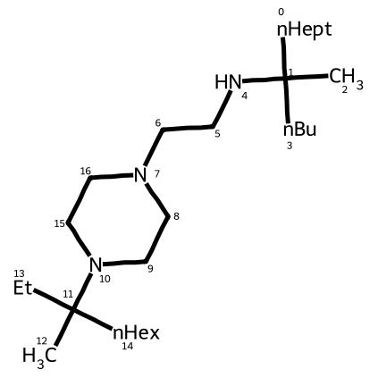 CCCCCCCC(C)(CCCC)NCCN1CCN(C(C)(CC)CCCCCC)CC1